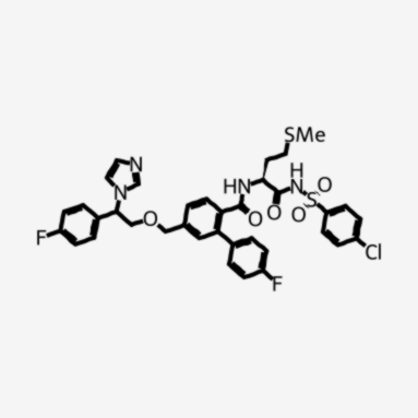 CSCC[C@H](NC(=O)c1ccc(COCC(c2ccc(F)cc2)n2ccnc2)cc1-c1ccc(F)cc1)C(=O)NS(=O)(=O)c1ccc(Cl)cc1